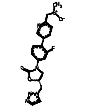 C[S+]([O-])Cc1ccc(-c2ccc(N3C[C@H](Cn4ccnn4)OC3=O)cc2F)cn1